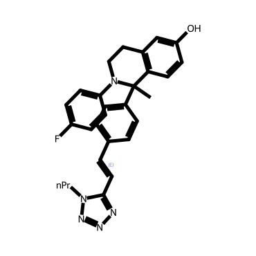 CCCn1nnnc1/C=C/c1ccc(C2(C)c3ccc(O)cc3CCN2c2ccc(F)cc2)cc1